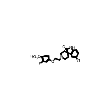 O=C(O)c1ccc(OCCN2CCC3(CC2)C(=O)Nc2ccc(Cl)cc23)cc1F